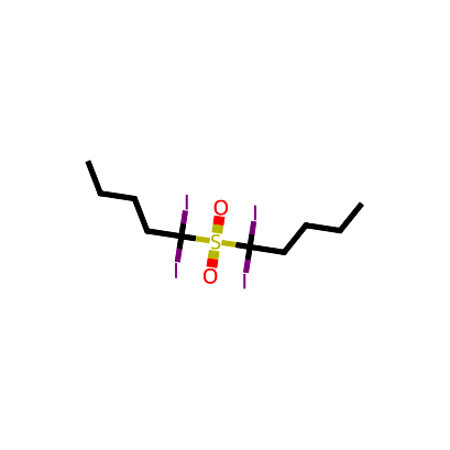 CCCCC(I)(I)S(=O)(=O)C(I)(I)CCCC